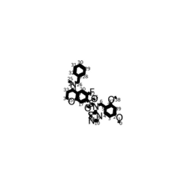 COc1ccc(CN(c2ncns2)S(=O)(=O)c2cc3c(cc2F)[C@@H](N(C)Cc2ccccc2)CCO3)c(OC)c1